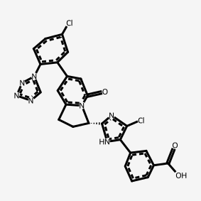 O=C(O)c1cccc(-c2[nH]c([C@@H]3CCc4cc(-c5cc(Cl)ccc5-n5cnnn5)cc(=O)n43)nc2Cl)c1